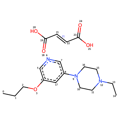 CCCOc1cncc(N2CCN(CC)CC2)c1.O=C(O)/C=C/C(=O)O